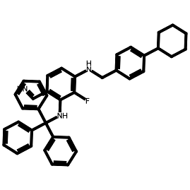 N=Cc1ccc(NCc2ccc(C3CCCCC3)cc2)c(F)c1NC(c1ccccc1)(c1ccccc1)c1ccccc1